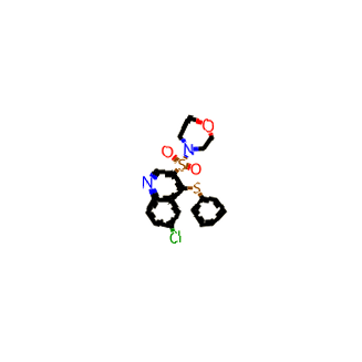 O=S(=O)(c1cnc2ccc(Cl)cc2c1Sc1ccccc1)N1CCOCC1